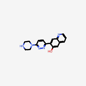 Oc1cc2cccnc2cc1-c1ccc(N2CCNCC2)nn1